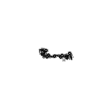 CN[C@@H](C)C(=O)N[C@H](C(=O)N1CCC[C@H]1C(=O)N[C@@H]1CCCc2c(OCCc3ccc(CCOc4cccc5c4CCC[C@H]5NC(=O)[C@@H]4CCCN4C(=O)[C@@H](NC(=O)[C@H](C)NC)C4CCCCC4)cc3)cccc21)C1CCCCC1